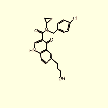 O=C(c1c[nH]c2ccc(CCCO)cc2c1=O)N(Cc1ccc(Cl)cc1)C1CC1